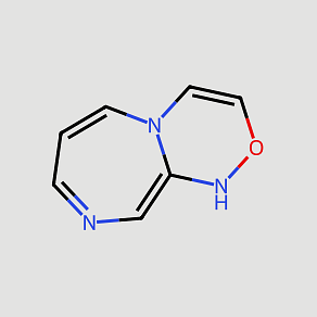 c1cncc2[nH]occn-2c1